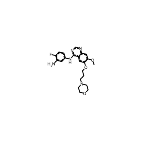 COc1cc2ncnc(Nc3ccc(F)c(N)c3)c2cc1OCCCN1CCOCC1